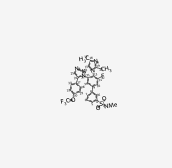 CNS(=O)(=O)c1cccc(-c2cc(F)c(-n3cc(C)nc3C)c(-n3nncc3-c3ccc(OC(F)(F)F)cc3)c2)c1